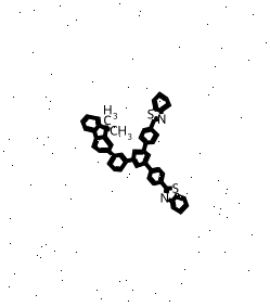 CC1(C)c2ccccc2-c2ccc(-c3cccc(-c4cc(-c5ccc(-c6nc7ccccc7s6)cc5)cc(-c5ccc(-c6nc7ccccc7s6)cc5)c4)c3)cc21